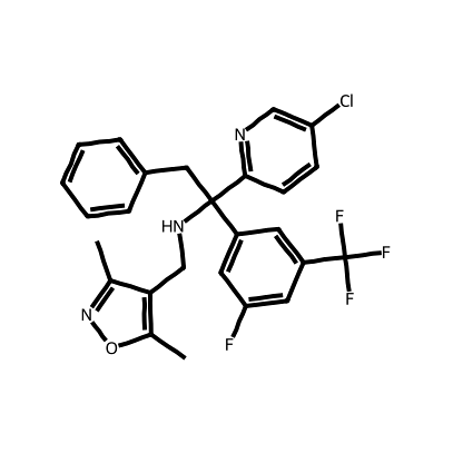 Cc1noc(C)c1CNC(Cc1ccccc1)(c1cc(F)cc(C(F)(F)F)c1)c1ccc(Cl)cn1